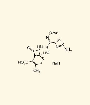 CON=C(C(=O)N[C@@H]1C(=O)N2C(C(=O)O)=C(C)CS[C@H]12)c1csc(N)n1.[NaH]